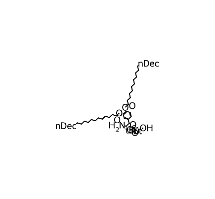 CCCCCCCCCCCCCCCCCCCCCC(=O)Oc1ccc(C(OS(C)(=O)=O)C(N)C(C)(C)C)cc1OC(=O)CCCCCCCCCCCCCCCCCCCCC.CCO